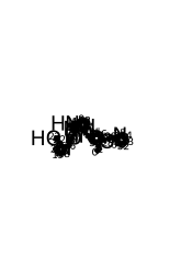 CCc1cc(Nc2nccc3[nH]nc(OCCN4CCC[C@@H]4CO)c23)ccc1OCc1ccccn1